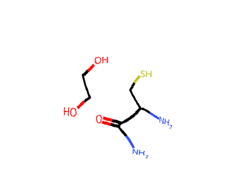 NC(=O)C(N)CS.OCCO